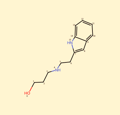 OCCCNCCc1cc2ccccc2[nH]1